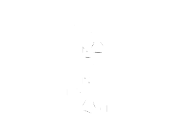 O=C(O)COc1cccc2c(CCCNC[C@H](O)c3cccc(Cl)c3)c[nH]c12